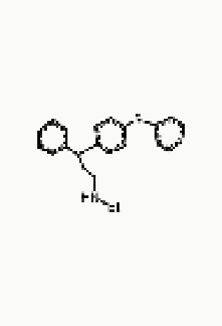 CCNCCC(c1ccccc1)c1ccc(Sc2ccccc2)cc1